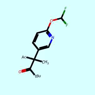 CC(=O)C(C)(C(=O)C(C)(C)C)c1ccc(OC(F)F)nc1